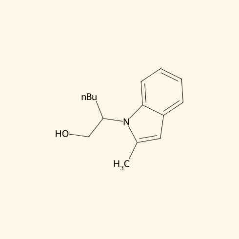 CCCCC(CO)n1c(C)cc2ccccc21